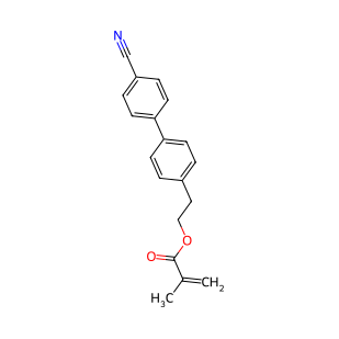 C=C(C)C(=O)OCCc1ccc(-c2ccc(C#N)cc2)cc1